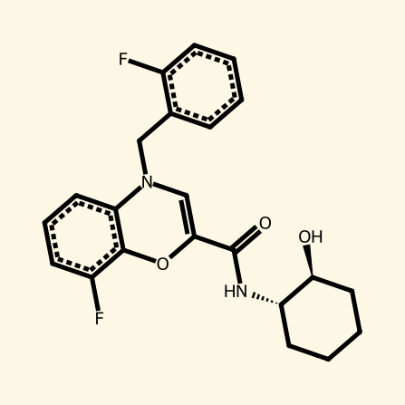 O=C(N[C@H]1CCCC[C@@H]1O)C1=CN(Cc2ccccc2F)c2cccc(F)c2O1